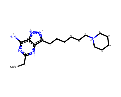 COCc1nc(N)c2[nH]nc(CCCCCCN3CCCCC3)c2n1